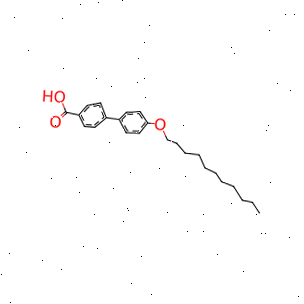 CCCCCCCCCCCOc1ccc(-c2ccc(C(=O)O)cc2)cc1